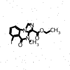 CCOC(=O)c1ncn2c3cccc(I)c3c(=O)n(C)c12